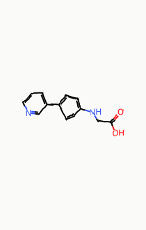 O=C(O)CNc1ccc(-c2cccnc2)cc1